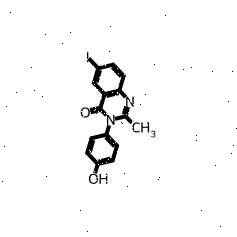 Cc1nc2ccc(I)cc2c(=O)n1-c1ccc(O)cc1